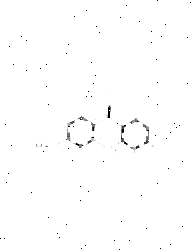 COc1ccc(C(=O)c2ccccc2)c(C#N)c1